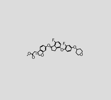 COC(=O)C[C@@H]1COc2cc(O[C@@H]3CCc4c(Oc5ccc(OC6CCOCC6)cc5F)ccc(F)c43)ccc21